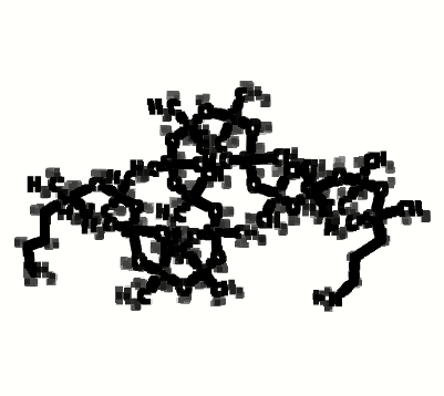 C[Si](C)(CCCN)O[Si](C)(C)O[Si](C)(C)O[Si](C)(C)O[Si](C)(C)O[Si](C)(C)O[Si](C)(C)O[Si](C)(C)O[Si](C)(C)O[Si](C)(C)O[Si](C)(C)O[Si](C)(C)O[Si](C)(C)O[Si](C)(C)O[Si](C)(C)CCCN